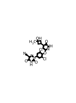 CC1(O)CC(c2cc(Oc3c(Cl)cc(-n4nc(C#N)c(=O)[nH]c4=O)cc3Cl)n[nH]c2=O)C1